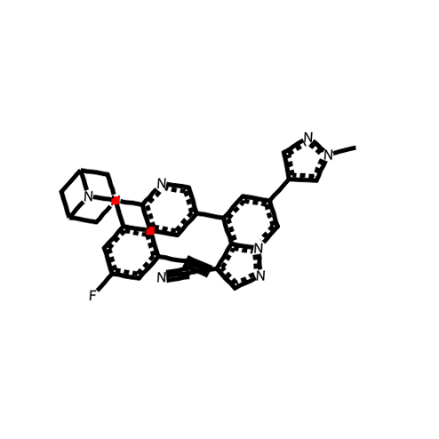 C#Cc1cc(F)cc(CN2C3CC2CN(c2ccc(-c4cc(-c5cnn(C)c5)cn5ncc(C#N)c45)cn2)C3)c1